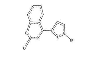 O=c1cc(-c2ccc(Br)s2)c2ccccc2o1